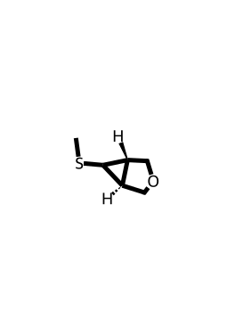 CSC1[C@@H]2COC[C@@H]12